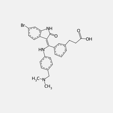 CN(C)Cc1ccc(NC(=C2C(=O)Nc3cc(Br)ccc32)c2cccc(CCC(=O)O)c2)cc1